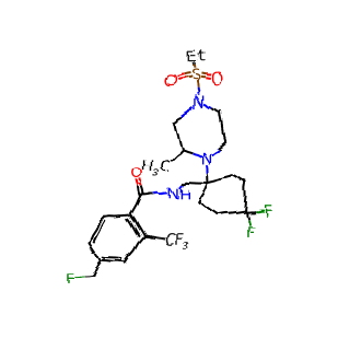 CCS(=O)(=O)N1CCN(C2(CNC(=O)c3ccc(CF)cc3C(F)(F)F)CCC(F)(F)CC2)C(C)C1